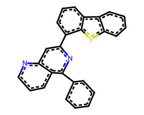 c1ccc(-c2nc(-c3cccc4c3sc3ccccc34)cc3ncccc23)cc1